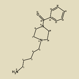 NCCCCCN1CCN(C(=O)c2ccccc2)CC1